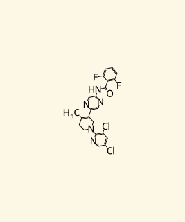 CC1=C(c2cnc(NC(=O)c3c(F)cccc3F)cn2)CN(c2ncc(Cl)cc2Cl)CC1